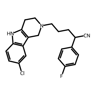 N#CC(CCCN1CCc2[nH]c3ccc(Cl)cc3c2C1)c1ccc(F)cc1